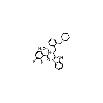 CCN(C(=O)c1cccc(F)c1F)C(Cc1ccccc1CN1CCCCC1)c1nc2ccccc2[nH]1